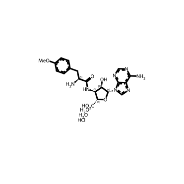 COc1ccc(C[C@H](N)C(=O)N[C@H]2[C@@H](O)[C@H](n3cnc4c(N)ncnc43)O[C@@H]2C(=O)O)cc1.Cl.O.O